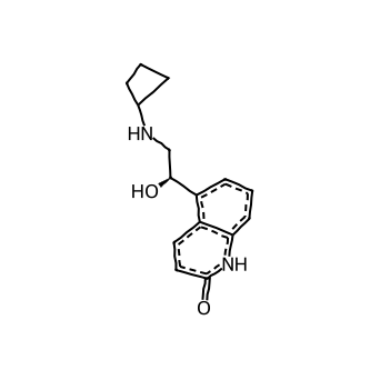 O=c1ccc2c([C@@H](O)CNC3CCC3)cccc2[nH]1